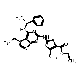 CCOC(=O)c1sc(Nc2nc(N[C@H](C)c3ccccc3)c3c(ncn3CC)n2)nc1C